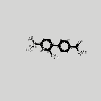 COC(=O)c1ccc(-c2ccc(N(C)C(C)=O)nc2C)cc1